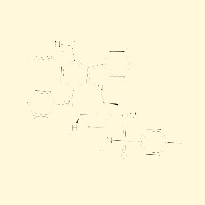 CO[C@@H]1[C@H](N(C)S(=O)(=O)c2ccc(C)cc2)C[C@H]2O[C@]1(C)n1c3ccccc3c3c4c(c5c6ccccc6n2c5c31)C(=O)NC4